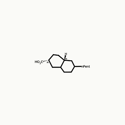 CCCCCC1CCC2C[C@H](C(=O)O)CC[C@@H]2C1